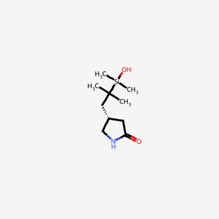 CC(C)(C[C@H]1CNC(=O)C1)[Si](C)(C)O